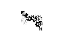 C[C@@H]1CN(c2ccc(C#N)n3ncc(F)c23)Cc2c3c(nn21)CN(CC1(C(=O)N2CCC2)CC1)[C@@H](C)C3